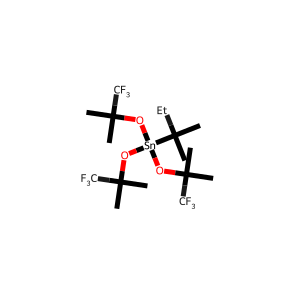 CC[C](C)(C)[Sn]([O]C(C)(C)C(F)(F)F)([O]C(C)(C)C(F)(F)F)[O]C(C)(C)C(F)(F)F